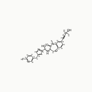 CN1C(=O)C(NC(O)n2cc(Cc3ccc(F)nc3)cn2)COc2ccc(C#CC(C)(C)O)cc21